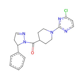 O=C(C1CCN(c2nccc(Cl)n2)CC1)N1N=CCC1c1ccccc1